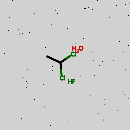 CC(Cl)Cl.F.O